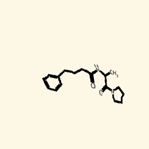 CC(NC(=O)CCCc1ccccc1)C(=O)N1CCCC1